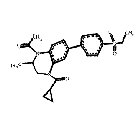 CCS(=O)(=O)c1ccc(-c2ccc3c(c2)N(C(=O)C2CC2)CC(C)N3C(C)=O)cc1